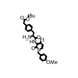 CCc1ccn(Cc2ccc(OC)cc2)c(=O)c1NC(=O)C(N)Cc1ccc(CC(=O)OC(C)(C)C)cc1